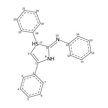 C1=C(c2ccccc2)NC(=Nc2ccccc2)[SH]1c1ccccc1